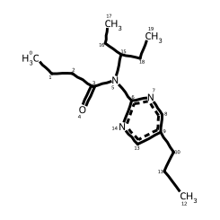 CCCC(=O)N(c1ncc(CCC)cn1)C(CC)CC